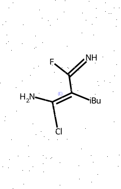 CCC(C)/C(C(=N)F)=C(/N)Cl